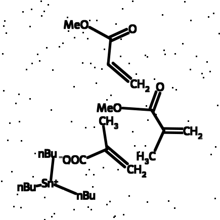 C=C(C)C(=O)OC.C=C(C)C(=O)[O-].C=CC(=O)OC.CCC[CH2][Sn+]([CH2]CCC)[CH2]CCC